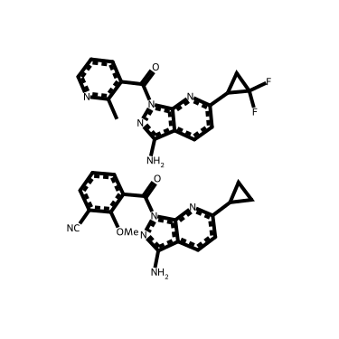 COc1c(C#N)cccc1C(=O)n1nc(N)c2ccc(C3CC3)nc21.Cc1ncccc1C(=O)n1nc(N)c2ccc(C3CC3(F)F)nc21